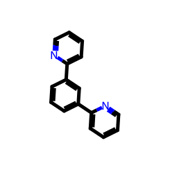 c1ccc(-c2cccc(-c3ccccn3)c2)nc1